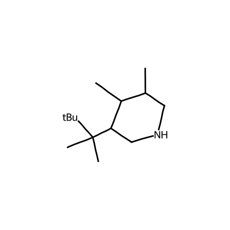 CC1CNCC(C(C)(C)C(C)(C)C)C1C